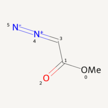 [CH2]OC(=O)C=[N+]=[N-]